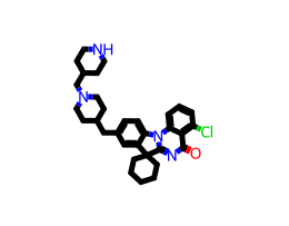 O=c1nc2n(c3cccc(Cl)c13)-c1ccc(CC3CCN(CC4CCNCC4)CC3)cc1C21CCCCC1